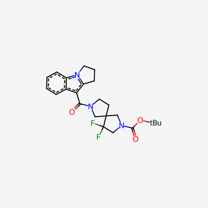 CC(C)(C)OC(=O)N1CC(F)(F)C2(CCN(C(=O)c3c4n(c5ccccc35)CCC4)C2)C1